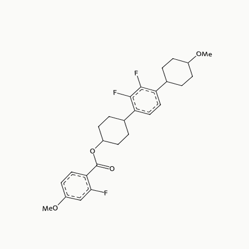 COc1ccc(C(=O)OC2CCC(c3ccc(C4CCC(OC)CC4)c(F)c3F)CC2)c(F)c1